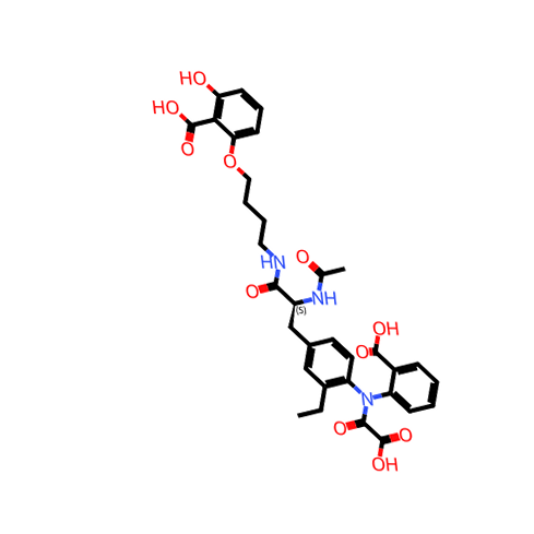 CCc1cc(C[C@H](NC(C)=O)C(=O)NCCCCOc2cccc(O)c2C(=O)O)ccc1N(C(=O)C(=O)O)c1ccccc1C(=O)O